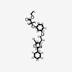 CCOC(=O)C(C)(C)Oc1cccc(OCCc2nc(-c3ccccc3)oc2C)c1